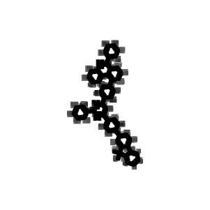 CC1(C)c2ccccc2-c2ccc(-c3ccc(-c4cc(-c5ccc(-c6cccc7c(-c8ccccc8)nc8ccccc8c67)cc5)nc(-c5ccccc5)n4)cc3)cc21